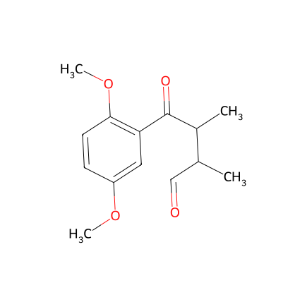 COc1ccc(OC)c(C(=O)C(C)C(C)C=O)c1